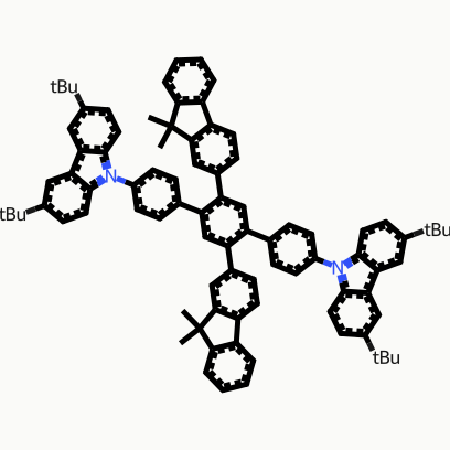 CC(C)(C)c1ccc2c(c1)c1cc(C(C)(C)C)ccc1n2-c1ccc(-c2cc(-c3ccc4c(c3)C(C)(C)c3ccccc3-4)c(-c3ccc(-n4c5ccc(C(C)(C)C)cc5c5cc(C(C)(C)C)ccc54)cc3)cc2-c2ccc3c(c2)C(C)(C)c2ccccc2-3)cc1